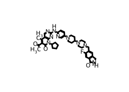 [2H]N1Cc2cc(CN3CCN(C4CCN(c5ccc(Nc6ncc7c(C)c(C(C)=O)c(=O)n(C8CCCC8)c7n6)nc5)CC4)CC3)c(F)cc2C1=O